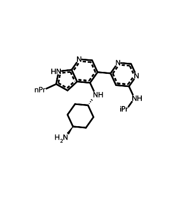 CCCc1cc2c(N[C@H]3CC[C@H](N)CC3)c(-c3cc(NC(C)C)ncn3)cnc2[nH]1